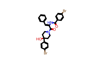 O=C(N/C(=C\c1ccccc1)C(=O)N1CCC(O)(c2ccc(Br)cc2)CC1)c1ccc(Br)cc1